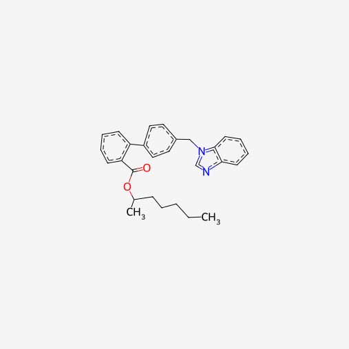 CCCCCC(C)OC(=O)c1ccccc1-c1ccc(Cn2cnc3ccccc32)cc1